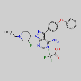 Nc1ncnc2c1c(-c1ccc(Oc3ccccc3)cc1)nn2C1CCN(CC(=O)O)CC1F.O=C(O)C(F)(F)F